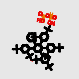 CC(C)(C)c1ccc(-c2cc(-c3ccc(C(C)(C)C)cc3C(C)(C)C)c(-c3ccc(C(C)(C)C)cc3C(C)(C)C)c(-c3ccc(C(C)(C)C)cc3C(C)(C)C)c2-c2ccccc2)c(C(C)(C)C)c1.O=[PH](O)O[PH](=O)O